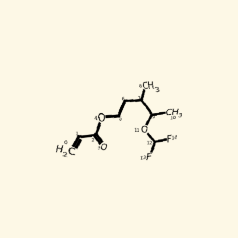 C=CC(=O)OCCC(C)C(C)OC(F)F